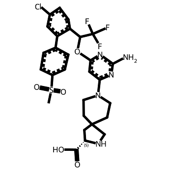 CS(=O)(=O)c1ccc(-c2cc(Cl)ccc2C(Oc2cc(N3CCC4(CC3)CN[C@H](C(=O)O)C4)nc(N)n2)C(F)(F)F)cc1